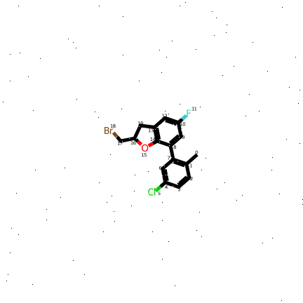 Cc1ccc(Cl)cc1-c1cc(F)cc2c1OC(CBr)C2